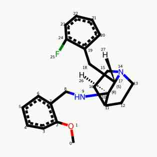 COc1ccccc1CN[C@@H]1C2CCN(CC2)[C@H]1Cc1ccccc1F